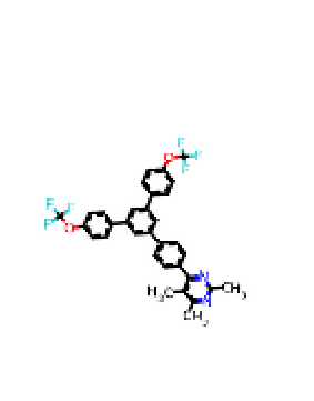 Cc1nc(C)c(C)c(-c2ccc(-c3cc(-c4ccc(OC(F)(F)F)cc4)cc(-c4ccc(OC(F)(F)F)cc4)c3)cc2)n1